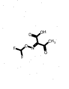 CC(=O)/C(=N/OC(F)F)C(=O)O